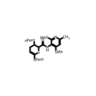 CCCCCC1=CCC(CCCCC)C(C(=O)Nc2c(SC)cc(C)nc2SC)S1